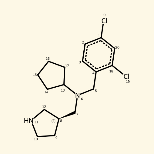 Clc1ccc(CN(C[C@H]2CCNC2)C2CCCC2)c(Cl)c1